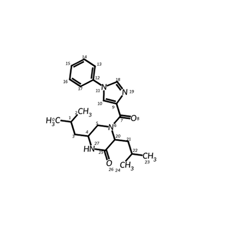 CC(C)CC1CN(C(=O)c2cn(-c3ccccc3)cn2)C(CC(C)C)C(=O)N1